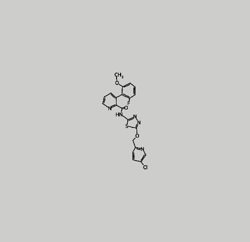 COc1cccc(F)c1-c1cccnc1C(=O)Nc1nnc(OCc2ccc(Cl)cn2)s1